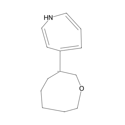 C1=CNC=CC([C]2CCCCCOC2)=C1